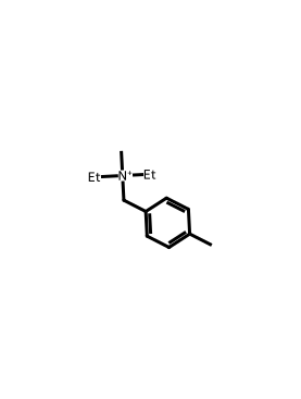 CC[N+](C)(CC)Cc1ccc(C)cc1